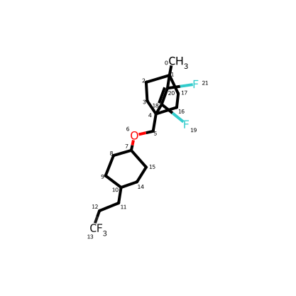 CC12CCC(COC3CCC(CCC(F)(F)F)CC3)(CC1)C(F)=C2F